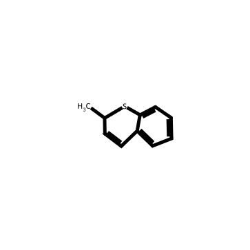 CC1[C]=Cc2ccccc2S1